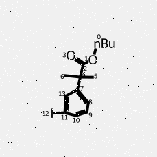 CCCCOC(=O)C(C)(C)c1cccc(I)c1